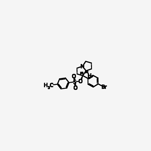 Cc1ccc(S(=O)(=O)O[C@@]2(c3ccc(Br)cc3)CCN3CCC[C@H]32)cc1